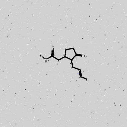 C/C=C/CC1C(=O)CCC1CC(=O)OC